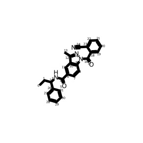 CCC(NC(=O)c1ccc2c(c1)c(C)nn2C(=O)c1ccccc1C#N)c1ccccc1